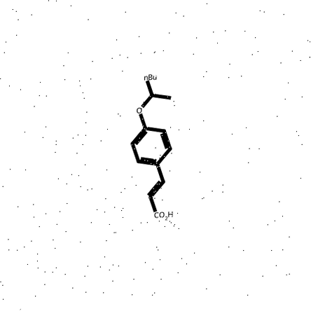 CCCCC(C)Oc1ccc(C=CC(=O)O)cc1